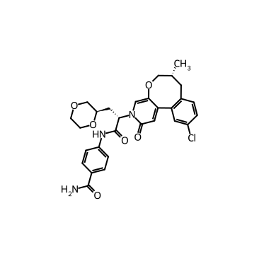 C[C@H]1COc2cn([C@@H](C[C@@H]3COCCO3)C(=O)Nc3ccc(C(N)=O)cc3)c(=O)cc2-c2cc(Cl)ccc2C1